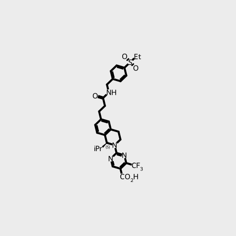 CCS(=O)(=O)c1ccc(CNC(=O)CCc2ccc3c(c2)CCN(c2ncc(C(=O)O)c(C(F)(F)F)n2)[C@H]3C(C)C)cc1